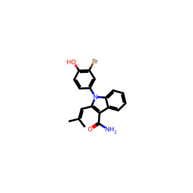 CC(C)=Cc1c(C(N)=O)c2ccccc2n1-c1ccc(O)c(Br)c1